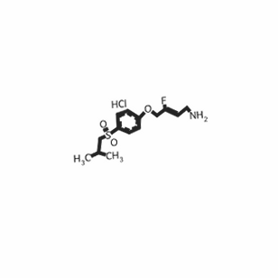 CC(C)CS(=O)(=O)c1ccc(OCC(F)=CCN)cc1.Cl